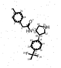 Cc1ccc(CC(=O)N[C@@H]2CNC[C@H]2c2ccc(C(C)(F)F)cc2)cc1